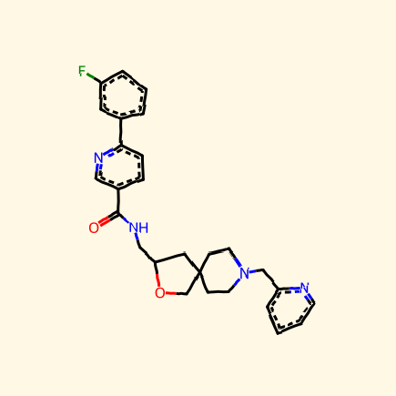 O=C(NCC1CC2(CCN(Cc3ccccn3)CC2)CO1)c1ccc(-c2cccc(F)c2)nc1